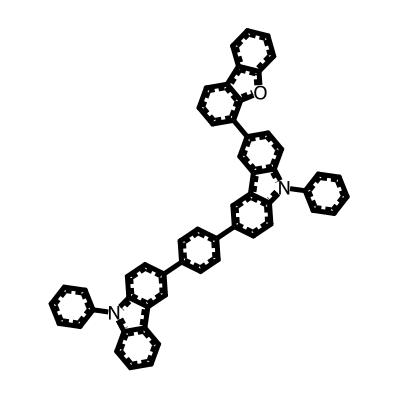 c1ccc(-n2c3ccccc3c3cc(-c4ccc(-c5ccc6c(c5)c5cc(-c7cccc8c7oc7ccccc78)ccc5n6-c5ccccc5)cc4)ccc32)cc1